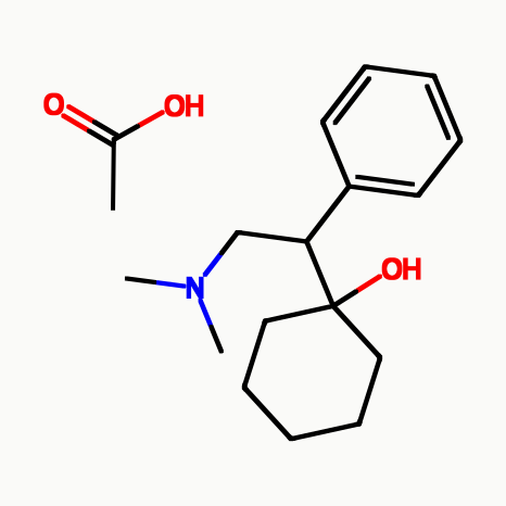 CC(=O)O.CN(C)CC(c1ccccc1)C1(O)CCCCC1